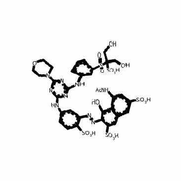 CC(=O)Nc1cc(S(=O)(=O)O)cc2cc(S(=O)(=O)O)c(N=Nc3cc(Nc4nc(Nc5cccc(S(=O)(=O)C(CO)(CO)S(=O)(=O)O)c5)nc(N5CCOCC5)n4)ccc3S(=O)(=O)O)c(O)c12